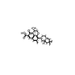 C[C@H]1COc2c(N3CCN4CC(F)(F)C[C@H]4C3)c(F)cc3cc(C(=O)O)c(=O)n1c23